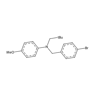 COc1ccc(N(Cc2ccc(Br)cc2)CC(C)(C)C)cc1